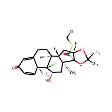 CC1(C)O[C@@H]2C[C@H]3[C@@H]4CCC5=CC(=O)C=C[C@]5(C)[C@@]4(F)[C@@H](O)C[C@]3(C)[C@]2(C(=O)SCCl)O1